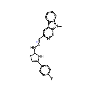 Cn1c2ccccc2c2cc(/C=N/NC3NC(c4ccc(F)cc4)=CS3)ncc21